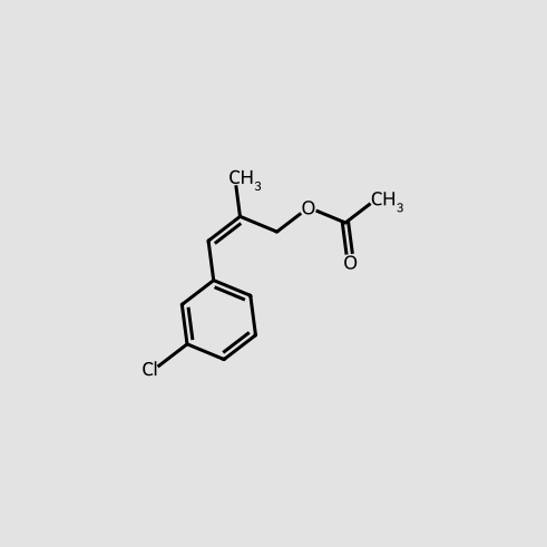 CC(=O)OCC(C)=Cc1cccc(Cl)c1